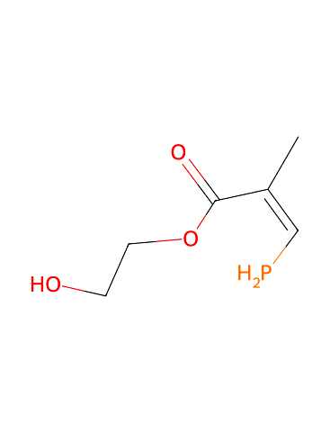 CC(=CP)C(=O)OCCO